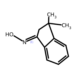 CC1(C)C/C(=N\O)c2ccccc21